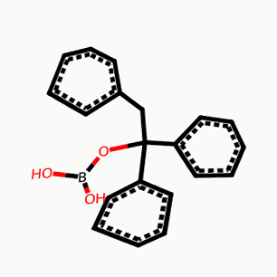 OB(O)OC(Cc1ccccc1)(c1ccccc1)c1ccccc1